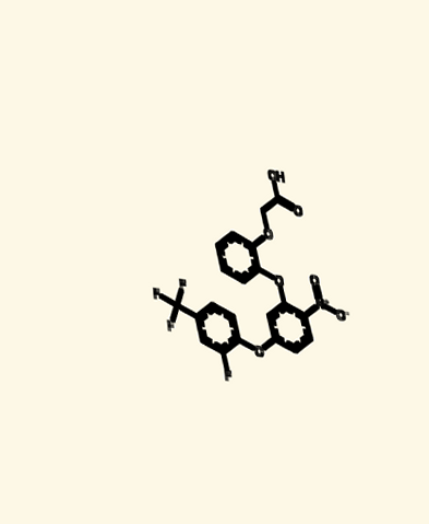 O=C(O)COc1ccccc1Oc1cc(Oc2ccc(C(F)(F)F)cc2F)ccc1[N+](=O)[O-]